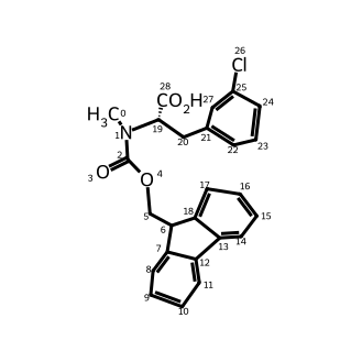 CN(C(=O)OCC1c2ccccc2-c2ccccc21)[C@@H](Cc1cccc(Cl)c1)C(=O)O